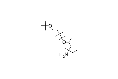 CCC(C)(N)CC(C)OC(C)(C)C(C)(C)CCOC(C)(C)C